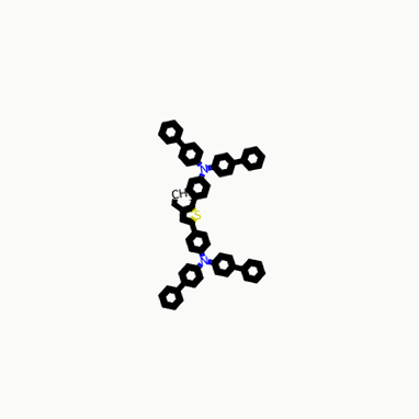 CCc1cc(-c2ccc(N(c3ccc(-c4ccccc4)cc3)c3ccc(-c4ccccc4)cc3)cc2)sc1-c1ccc(N(c2ccc(-c3ccccc3)cc2)c2ccc(-c3ccccc3)cc2)cc1